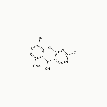 COc1ccc(Br)cc1C(O)c1cnc(Cl)nc1Cl